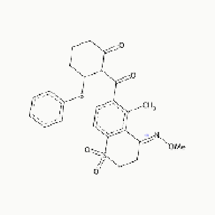 CO/N=C1\CCS(=O)(=O)c2ccc(C(=O)C3C(=O)CCCC3Sc3ccccc3)c(C)c21